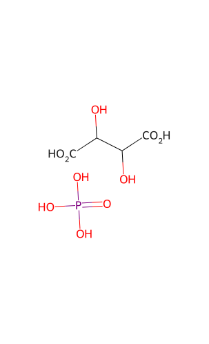 O=C(O)C(O)C(O)C(=O)O.O=P(O)(O)O